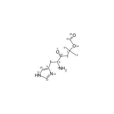 CC(C)(CC(=O)C(N)Cc1c[nH]cn1)O[C]=O